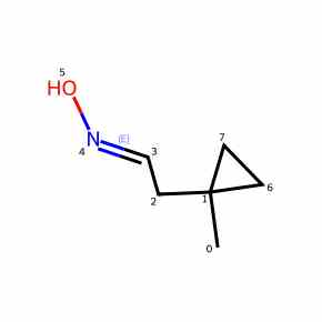 CC1(C/C=N/O)CC1